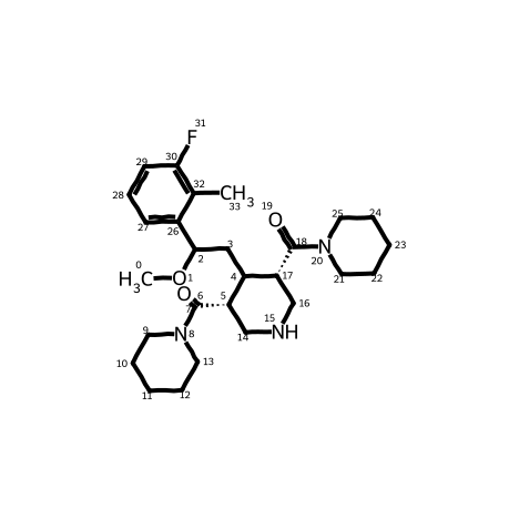 COC(CC1[C@@H](C(=O)N2CCCCC2)CNC[C@H]1C(=O)N1CCCCC1)c1cccc(F)c1C